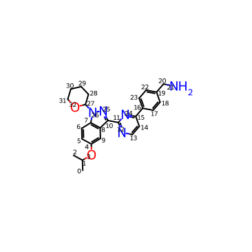 CC(C)Oc1ccc2c(c1)c(-c1nccc(-c3ccc(CN)cc3)n1)nn2C1CCCCO1